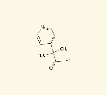 CCC(=O)C(C)(C)c1ccncc1